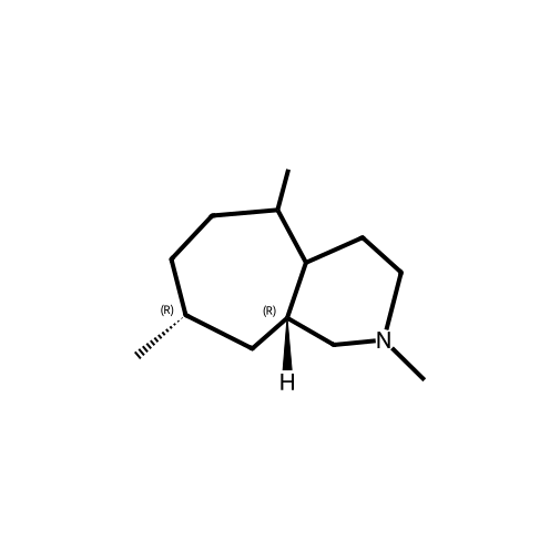 CC1CC[C@@H](C)C[C@H]2CN(C)CCC12